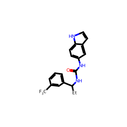 CCC(NC(=O)Nc1ccc2[nH]ccc2c1)c1cccc(C(F)(F)F)c1